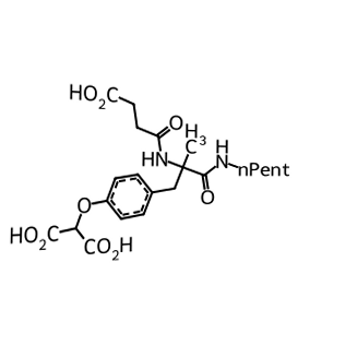 CCCCCNC(=O)C(C)(Cc1ccc(OC(C(=O)O)C(=O)O)cc1)NC(=O)CCC(=O)O